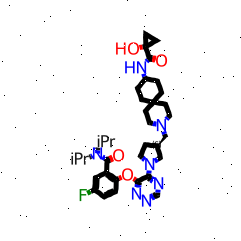 CC(C)N(C(=O)c1cc(F)ccc1Oc1nncnc1N1CC[C@@H](CN2CCC3(CCC(NC(=O)C4(O)CC4)CC3)CC2)C1)C(C)C